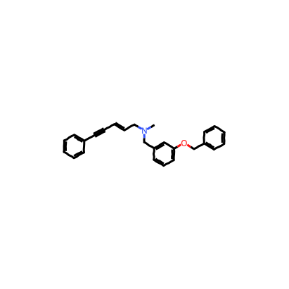 CN(C/C=C/C#Cc1ccccc1)Cc1cccc(OCc2ccccc2)c1